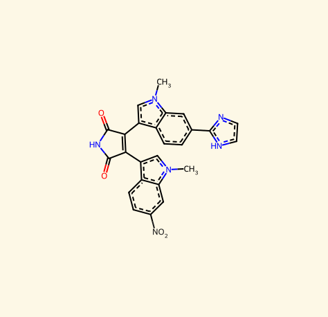 Cn1cc(C2=C(c3cn(C)c4cc([N+](=O)[O-])ccc34)C(=O)NC2=O)c2ccc(-c3ncc[nH]3)cc21